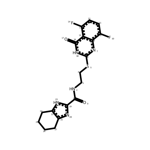 O=C(NCCSc1nc2c(F)ccc(F)c2c(=O)[nH]1)c1nc2c([nH]1)CCCC2